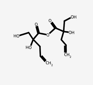 C=CCC(O)(CO)C(=O)OC(=O)C(O)(CO)CC=C